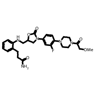 COCC(=O)N1CCN(c2ccc(N3CC(CNc4ccccc4CCC(N)=O)OC3=O)cc2F)CC1